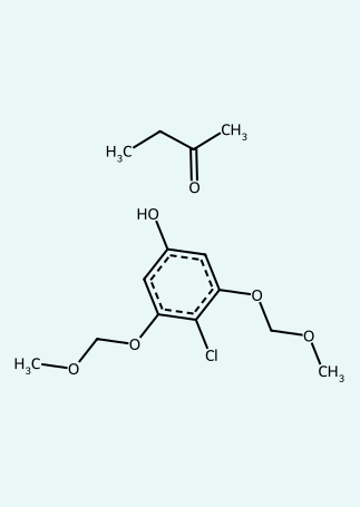 CCC(C)=O.COCOc1cc(O)cc(OCOC)c1Cl